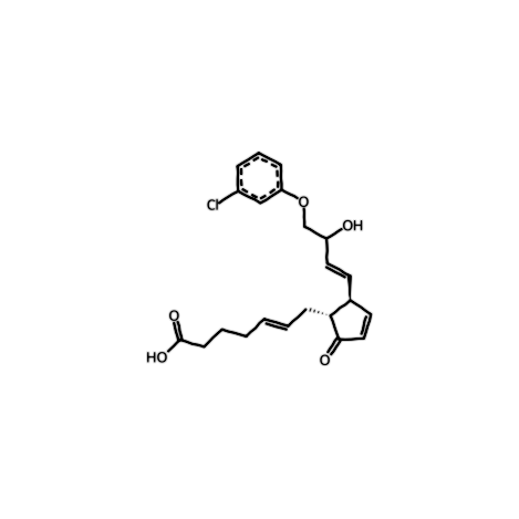 O=C(O)CCCC=CC[C@H]1C(=O)C=C[C@@H]1C=CC(O)COc1cccc(Cl)c1